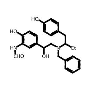 CCC(Cc1ccc(O)cc1)N(Cc1ccccc1)CC(O)c1ccc(O)c(NC=O)c1